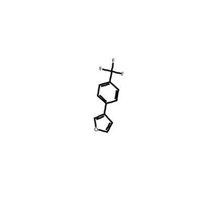 FC(F)(F)c1ccc(-c2ccoc2)cc1